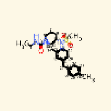 CCNC(=O)N1CCC[C@H](NS(C)(=O)=O)[C@@H]1Cc1cccc(Cc2ccc(C)cc2)c1